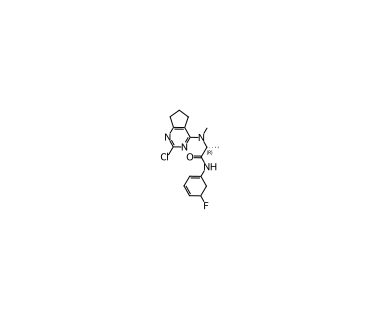 C[C@H](C(=O)NC1=CC=CC(F)C1)N(C)c1nc(Cl)nc2c1CCC2